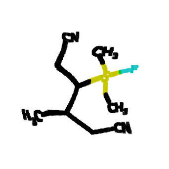 CC(CC#N)C(CC#N)S(C)(C)F